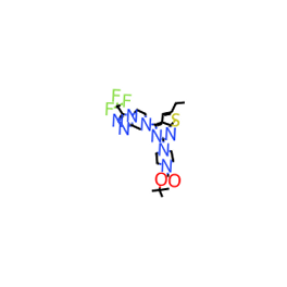 CCc1cc2c(N3CCn4c(nnc4C(F)(F)F)C3)nc(N3CCN(C(=O)OC(C)(C)C)CC3)nc2s1